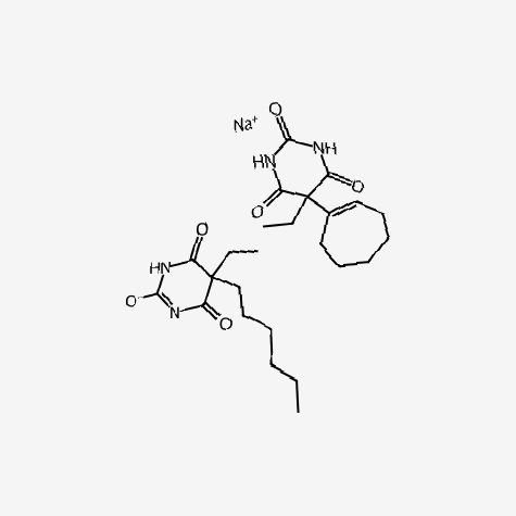 CCC1(C2=CCCCCC2)C(=O)NC(=O)NC1=O.CCCCCCC1(CC)C(=O)N=C([O-])NC1=O.[Na+]